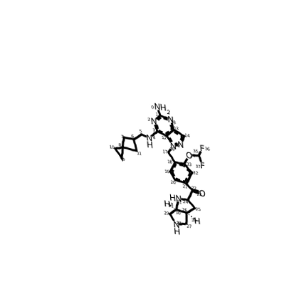 Nc1nc(NCC2CC3(CC3)C2)c2c(cnn2Cc2ccc(C(=O)C3C[C@H]4CNC[C@H]4N3)cc2OC(F)F)n1